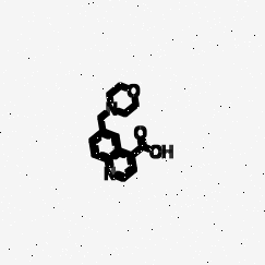 O=C(O)c1ccnc2ccc(CN3CCOCC3)cc12